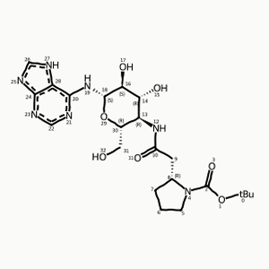 CC(C)(C)OC(=O)N1CCC[C@@H]1CC(=O)N[C@@H]1[C@@H](O)[C@H](O)[C@@H](Nc2ncnc3nc[nH]c23)O[C@H]1CO